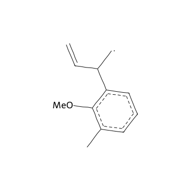 [CH2]C(C=C)c1cccc(C)c1OC